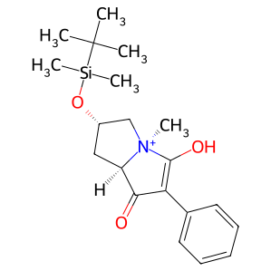 CC(C)(C)[Si](C)(C)O[C@H]1C[C@@H]2C(=O)C(c3ccccc3)=C(O)[N@+]2(C)C1